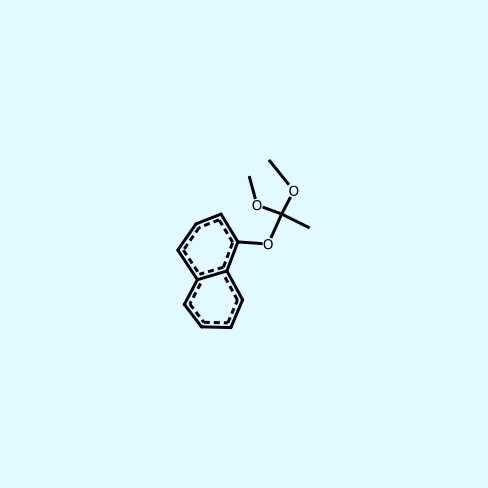 COC(C)(OC)Oc1cccc2ccccc12